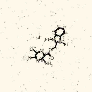 CCn1c(COC(=O)c2nc(Cl)c(N)nc2N)[n+](CC)c2ccccc21.[I-]